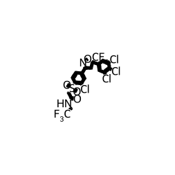 O=C(CS(=O)(=O)c1ccc(C2=NO[C@@](c3cc(Cl)c(Cl)c(Cl)c3)(C(F)(F)F)C2)cc1Cl)NCC(F)(F)F